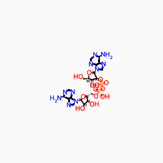 Nc1ncnc2c1ncn2[C@@H]1O[C@H](COP(=O)(O)OP(=O)(O)O[C@@H]2[C@H](O)[C@@H](CO)O[C@H]2n2cnc3c(N)ncnc32)[C@@H](O)[C@H]1O